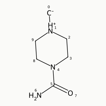 [CH2-][NH+]1CCN(C(N)=O)CC1